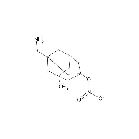 CC12CC3CC(CN)(C1)CC(O[N+](=O)[O-])(C3)C2